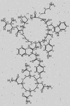 C[C@@H](O)[C@@H]1NC(=O)[C@H](CCCCN)NC(=O)[C@@H](Cc2c[nH]c3ccccc23)NC(=O)[C@H](Cc2ccc(O)cc2)NC(=O)[C@@H](NC(=O)C(Cc2ccccc2)NC(=S)Nc2ccc(CC3CN(CC(N)=O)CCN(CC(N)=O)CCN(CC(N)=O)CCN3CC(N)=O)cc2)CSSC[C@@H](C(=O)C[C@@H](O)[C@H](N)C(=O)O)NC1=O